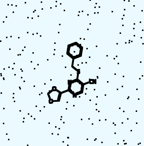 N#Cc1cnc(C2=COCO2)nc1SCc1ccccc1